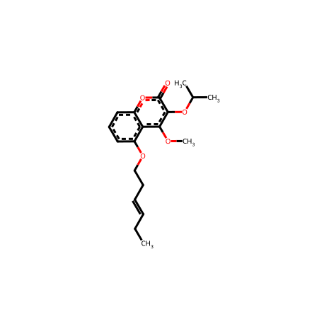 CCC=CCCOc1cccc2oc(=O)c(OC(C)C)c(OC)c12